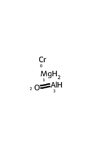 [Cr].[MgH2].[O]=[AlH]